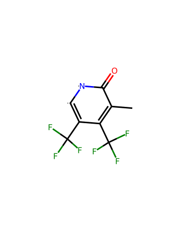 CC1=C(C(F)(F)F)C(C(F)(F)F)=[C][N]C1=O